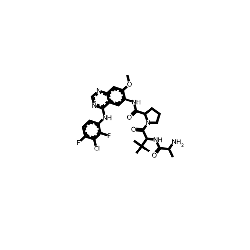 COc1cc2ncnc(Nc3ccc(F)c(Cl)c3F)c2cc1NC(=O)C1CCCN1C(=O)C(NC(=O)C(C)N)C(C)(C)C